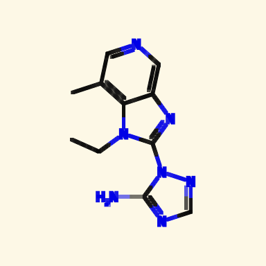 CCn1c(-n2ncnc2N)nc2cncc(C)c21